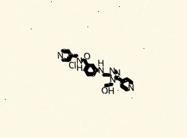 O=C(NCc1ccncc1Cl)c1cccc(NCc2nnc(-c3ccncc3)n2CCO)c1